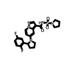 O=C(NS(=O)(=O)N1CCCC1)c1cnn2ccc(N3CCCC3c3cc(F)ccc3F)cc12